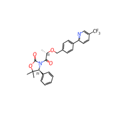 C[C@H](OCc1ccc(-c2ccc(C(F)(F)F)cn2)cc1)C(=O)N1C(=O)OC(C)(C)[C@@H]1c1ccccc1